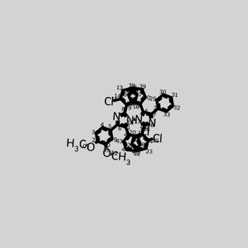 COc1ccc(-c2nc(-c3ccccc3Cl)n(-n3c(-c4ccccc4Cl)nc(-c4ccccc4)c3-c3ccccc3)c2-c2ccccc2Cl)cc1OC